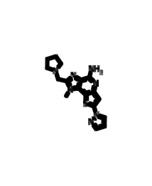 Cn1c(CN2CCCC2)nc2c(N)nc3cc(-n4cccn4)sc3c21